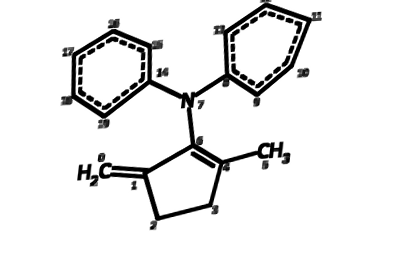 C=C1CCC(C)=C1N(c1ccccc1)c1ccccc1